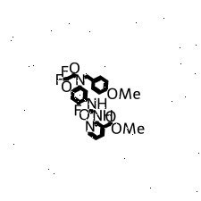 COC(=O)c1cccnc1NC(=O)Nc1cc2c(cc1F)OC(F)(F)C(=O)N2Cc1ccc(OC)cc1